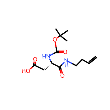 C=CCCNC(=O)[C@H](CC(=O)O)NC(=O)OC(C)(C)C